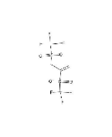 C=C(CS(=O)(=O)C(F)(F)F)S(=O)(=O)C(F)(F)F